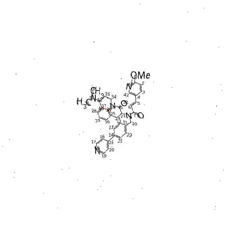 COc1ccc(C=CC(=O)N(Cc2ccc(-c3ccncc3)cc2)C(Cc2ccccc2)C(=O)N2CCC(N(C)C)CC2)cn1